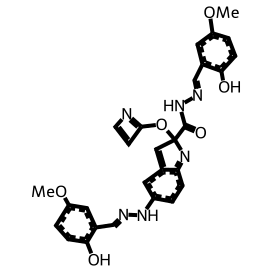 COc1ccc(O)c(C=NNC(=O)C2(OC3=NC=C3)C=c3cc(NN=Cc4cc(OC)ccc4O)ccc3=N2)c1